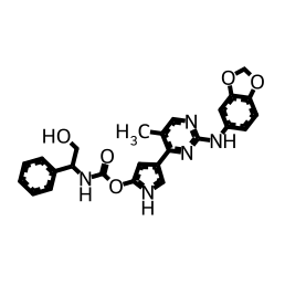 Cc1cnc(Nc2ccc3c(c2)OCO3)nc1-c1c[nH]c(OC(=O)NC(CO)c2ccccc2)c1